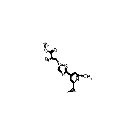 CC(C)OC(=O)/C(Br)=C/n1cnc(-c2cc(C3CC3)nc(C(F)(F)F)c2)n1